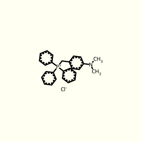 CN(C)c1ccc(C[P+](c2ccccc2)(c2ccccc2)c2ccccc2)cc1.[Cl-]